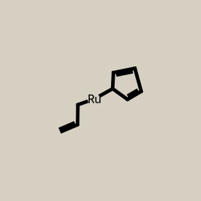 C=C[CH2][Ru][CH]1C=CC=C1